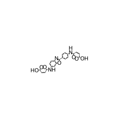 O=C(O)/C=C\C(=O)Nc1ccc(-c2nc3ccc(NC(=O)/C=C\C(=O)O)cc3o2)cc1